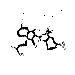 CC(C)CCn1c(=O)c(C2=NS(=O)(=O)c3cc(N)ccc3N2)c(O)c2cc(F)ccc21